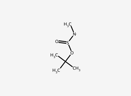 C[N]S(=O)OC(C)(C)C